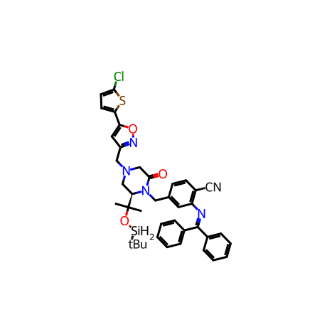 CC(C)(C)[SiH2]OC(C)(C)[C@H]1CN(Cc2cc(-c3ccc(Cl)s3)on2)CC(=O)N1Cc1ccc(C#N)c(N=C(c2ccccc2)c2ccccc2)c1